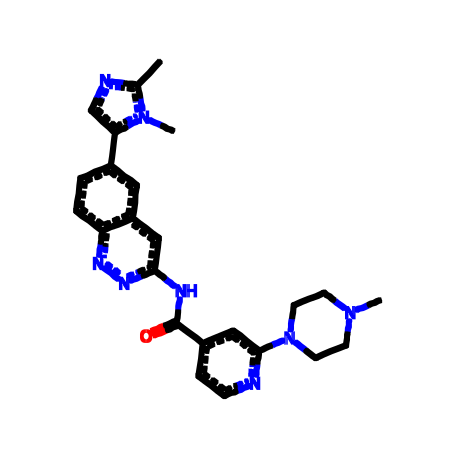 Cc1ncc(-c2ccc3nnc(NC(=O)c4ccnc(N5CCN(C)CC5)c4)cc3c2)n1C